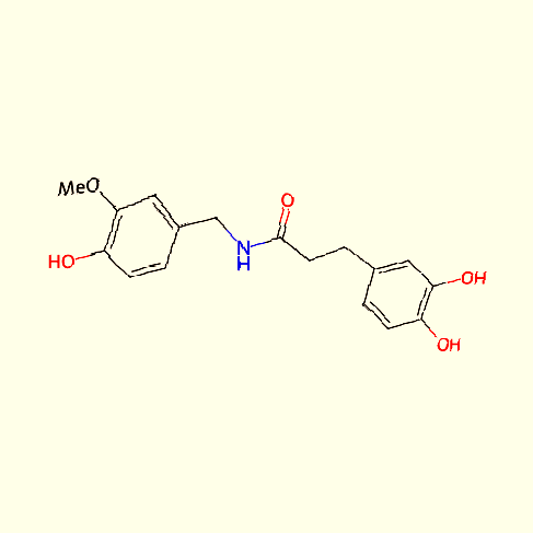 COc1cc(CNC(=O)CCc2ccc(O)c(O)c2)ccc1O